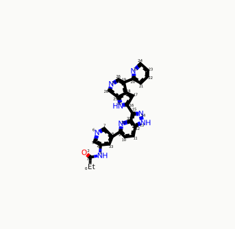 CCC(=O)Nc1cncc(-c2ccc3[nH]nc(-c4cc5c(-c6ccccn6)cncc5[nH]4)c3n2)c1